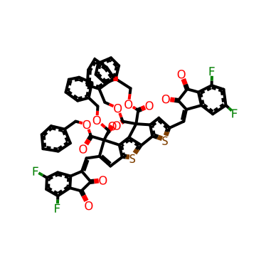 O=C1C(=O)c2c(F)cc(F)cc2/C1=C/C1=Cc2sc3c(c2C1(C(=O)OCc1ccccc1)C(=O)OCc1ccccc1)C(C(=O)OCc1ccccc1)(C(=O)OCc1ccccc1)c1cc(/C=C2\C(=O)C(=O)c4c(F)cc(F)cc42)sc1-3